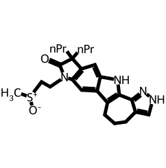 CCCC1(CCC)C(=O)N(CC[S+](C)[O-])c2cc3c4c([nH]c3cc21)-c1n[nH]cc1CCC4